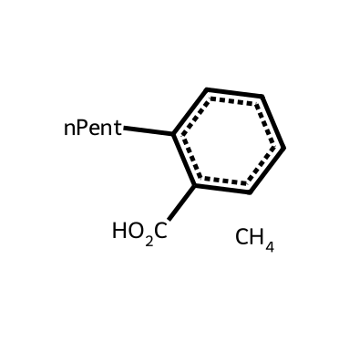 C.CCCCCc1ccccc1C(=O)O